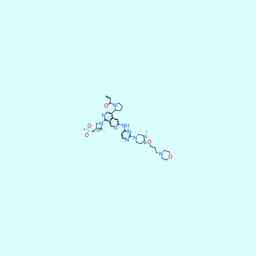 C=CC(=O)N1CCCC1c1cnc(N2C[C@H](CS(C)(=O)=O)[C@H]2C)c2cnc(Nc3ccnc(N4CC[C@@H](OCCCN5CCOCC5)[C@@H](F)C4)n3)cc12